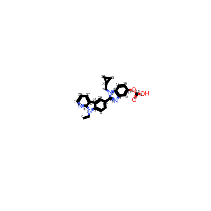 CCn1c2ccc(-c3nc4cc(OC(=O)O)ccc4n3CC3CC3)cc2c2cccnc21